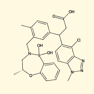 Cc1ccc(C(CC(=O)O)c2ccc3c(nnn3C)c2Cl)cc1CN1C[C@@H](C)Oc2ccccc2S1(O)O